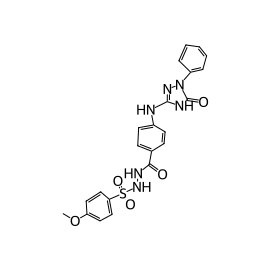 COc1ccc(S(=O)(=O)NNC(=O)c2ccc(Nc3nn(-c4ccccc4)c(=O)[nH]3)cc2)cc1